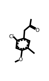 COc1cc(Cl)c(CC(C)=O)cc1C